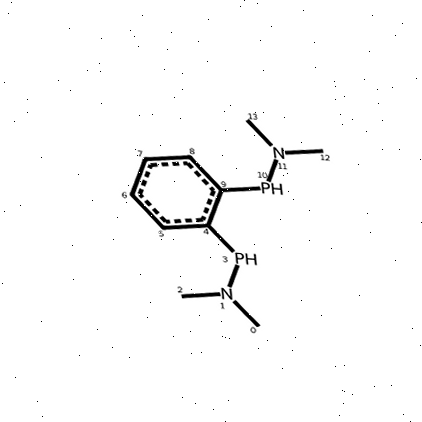 CN(C)Pc1ccccc1PN(C)C